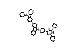 C1=Cc2c(n(-c3ccccc3)c3ccc(-c4ccc5c(c4)c4ccccc4n5-c4ccc(-c5nc(-c6ccccc6)nc(-c6ccccc6)n5)cc4)cc23)CC1